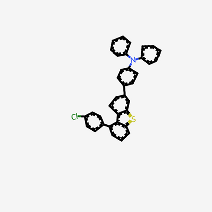 Clc1ccc(-c2cccc3sc4cc(-c5ccc(N(c6ccccc6)c6ccccc6)cc5)ccc4c23)cc1